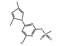 Cc1cc(C)n(-c2cc(Cl)nc(SS(C)(=O)=O)n2)c1